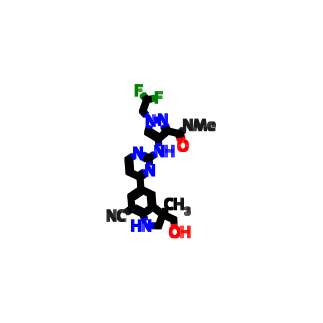 CNC(=O)c1nn(CC(F)F)cc1Nc1nccc(-c2cc(C#N)c3c(c2)C(C)(CO)CN3)n1